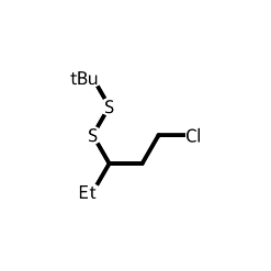 CCC(CCCl)SSC(C)(C)C